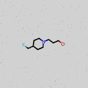 [O]CCCN1CCC(CF)CC1